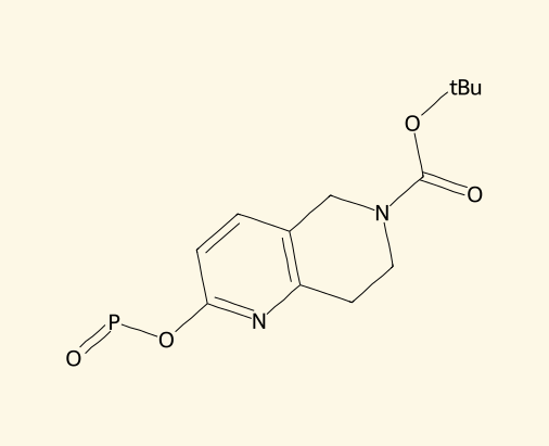 CC(C)(C)OC(=O)N1CCc2nc(OP=O)ccc2C1